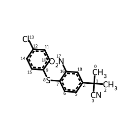 CC(C)(C#N)c1ccc(Sc2ccc(Cl)cc2)c([N+](=O)[O-])c1